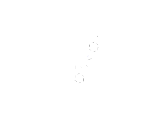 O=C(/C=C/c1ccc(O)cc1)Nc1ccc(OC2CCCCC2)cc1